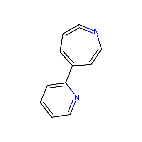 C1=CC=C(c2ccccn2)C=CN=1